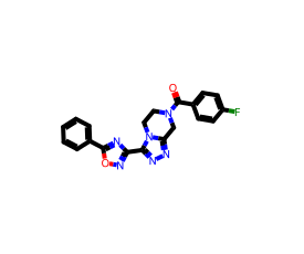 O=C(c1ccc(F)cc1)N1CCn2c(nnc2-c2noc(-c3ccccc3)n2)C1